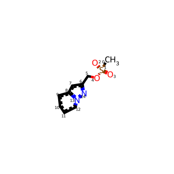 CS(=O)(=O)OCc1cc2ccccn2n1